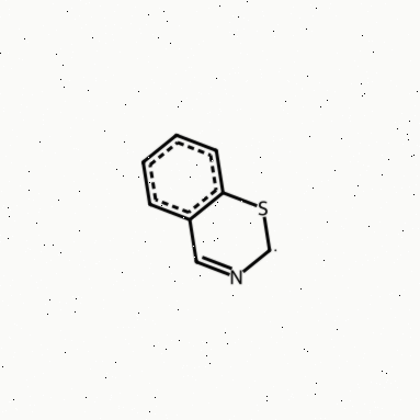 [CH]1N=Cc2ccccc2S1